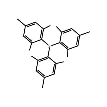 Cc1cc(C)c([Si](c2c(C)cc(C)cc2C)c2c(C)cc(C)cc2C)c(C)c1